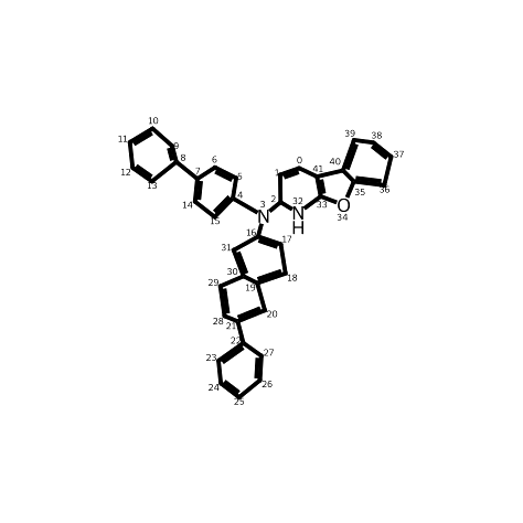 C1=CC(N(c2ccc(-c3ccccc3)cc2)c2ccc3cc(-c4ccccc4)ccc3c2)Nc2oc3ccccc3c21